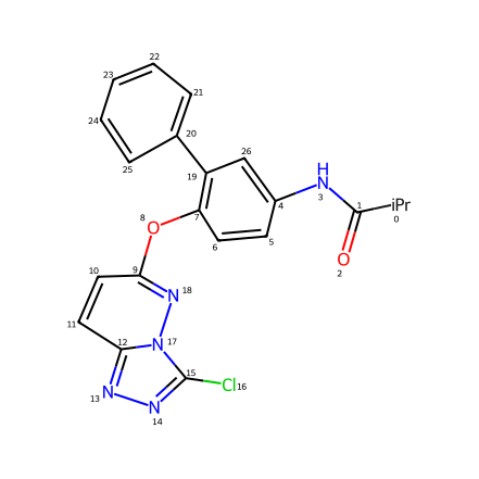 CC(C)C(=O)Nc1ccc(Oc2ccc3nnc(Cl)n3n2)c(-c2ccccc2)c1